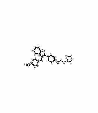 Oc1ccc(Cc2c(-c3ccc(OCCN4CCCC4)cc3)sc3ccccc23)cc1